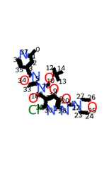 Cc1cc(-c2nc(N(C(=O)OC(C)(C)C)C(=O)c3cc4oc(N5CCOCC5)nc4nc3Cl)co2)ccn1